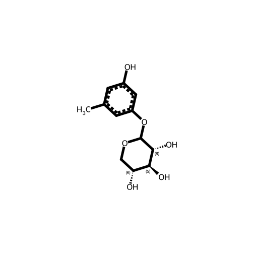 Cc1cc(O)cc(OC2OC[C@@H](O)[C@H](O)[C@H]2O)c1